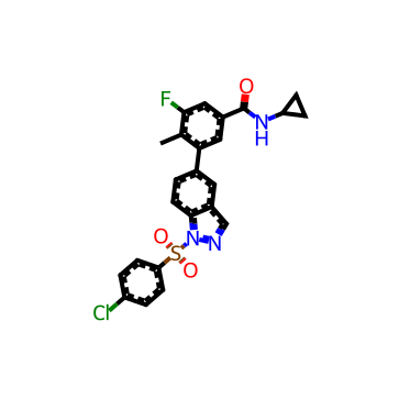 Cc1c(F)cc(C(=O)NC2CC2)cc1-c1ccc2c(cnn2S(=O)(=O)c2ccc(Cl)cc2)c1